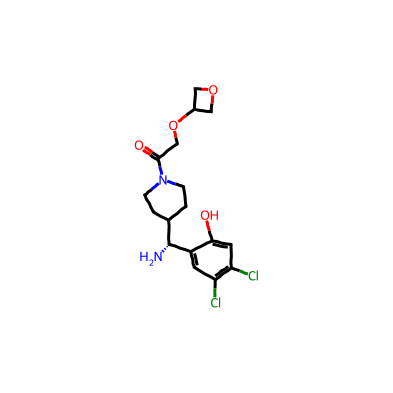 N[C@@H](c1cc(Cl)c(Cl)cc1O)C1CCN(C(=O)COC2COC2)CC1